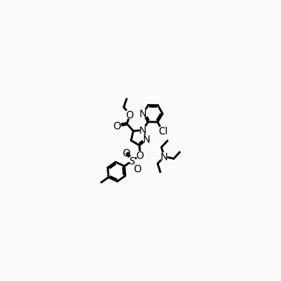 CCN(CC)CC.CCOC(=O)C1CC(OS(=O)(=O)c2ccc(C)cc2)=NN1c1ncccc1Cl